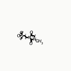 CN1CC(=O)N(CCS(=O)(=O)F)C1=O